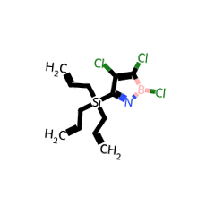 C=CC[Si](CC=C)(CC=C)C1=NB(Cl)C(Cl)=C1Cl